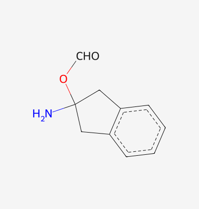 NC1(OC=O)Cc2ccccc2C1